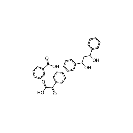 O=C(O)C(=O)c1ccccc1.O=C(O)c1ccccc1.OC(CC(O)c1ccccc1)c1ccccc1